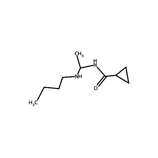 CCCCNC(C)NC(=O)C1CC1